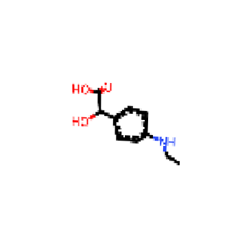 CCNc1ccc(C(O)C(=O)O)cc1